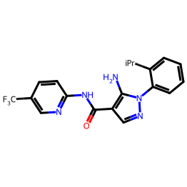 CC(C)c1ccccc1-n1ncc(C(=O)Nc2ccc(C(F)(F)F)cn2)c1N